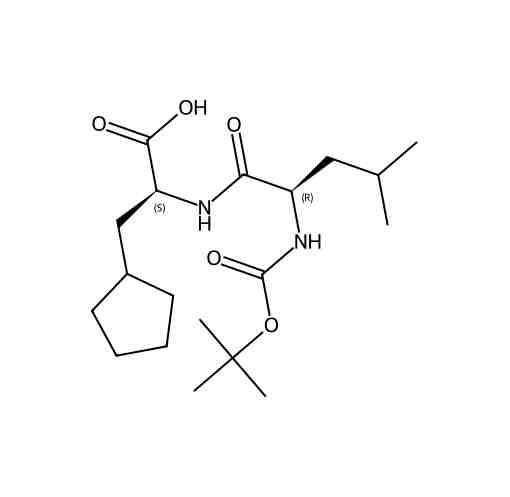 CC(C)C[C@@H](NC(=O)OC(C)(C)C)C(=O)N[C@@H](CC1CCCC1)C(=O)O